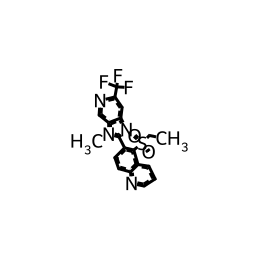 CCS(=O)(=O)c1c(-c2nc3cc(C(F)(F)F)ncc3n2C)ccc2ncccc12